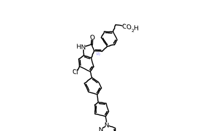 O=C(O)Cc1ccc(/C=C2\C(=O)Nc3cc(Cl)c(-c4ccc(-c5ccc(-n6cncn6)cc5)cc4)cc32)cc1